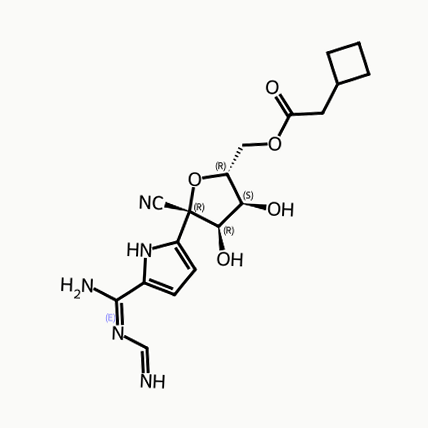 N#C[C@@]1(c2ccc(/C(N)=N\C=N)[nH]2)O[C@H](COC(=O)CC2CCC2)[C@@H](O)[C@H]1O